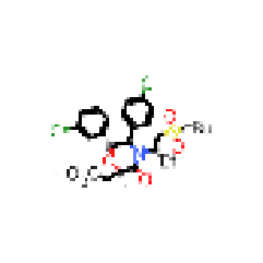 CC[C@@H](CS(=O)(=O)C(C)(C)C)N1C(=O)[C@@](C)(CC(=O)O)O[C@H](c2cccc(Cl)c2)C1c1ccc(Cl)cc1